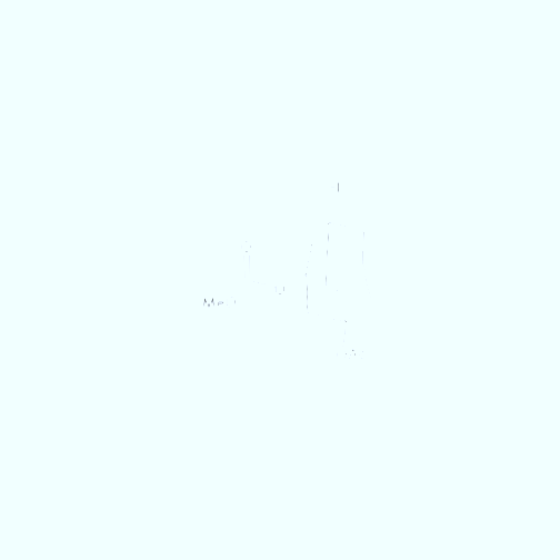 COC(=O)OC12CC3C[C@@H](CC(OC(C)=O)(C3)C1)C2